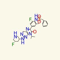 Cc1cc(-c2nc3cnc(N[C@@H]4CNC[C@@H](F)C4)nc3n(C(C)C)c2=O)cc(F)c1NS(=O)(=O)Cc1ccccc1